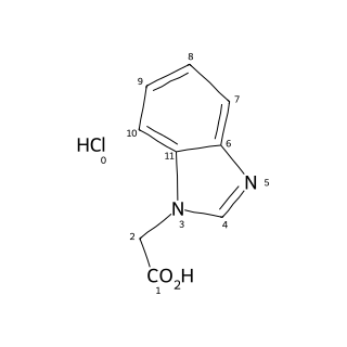 Cl.O=C(O)Cn1cnc2ccccc21